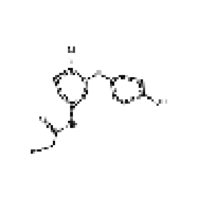 O=C(CF)Nc1ccc(Cl)c(Oc2ccc(O)cc2)c1